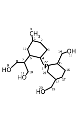 CC1CCC(C(C)C)C(C(CO)CO)C1.OCC1CCC(CO)CC1